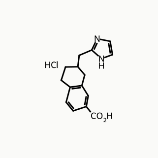 Cl.O=C(O)c1ccc2c(c1)CC(Cc1ncc[nH]1)CC2